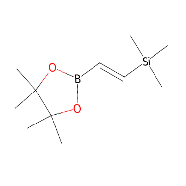 CC1(C)OB(C=C[Si](C)(C)C)OC1(C)C